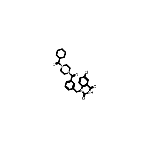 O=C(c1cccc(Cn2c(=O)[nH]c(=O)c3cc(Cl)ccc32)c1)N1CCN(C(=O)C2CCCCC2)CC1